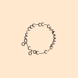 O=C1CCC(=O)OCCCCCCCCCCCSSCCCCCCCCCCCO1